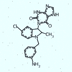 CC1C(n2c(=O)[nH]c3nc[nH]c3c2=O)c2cc(Cl)ccc2N1Cc1cccc(N)c1